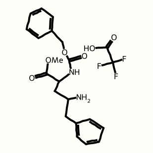 COC(=O)C(CC(N)Cc1ccccc1)NC(=O)OCc1ccccc1.O=C(O)C(F)(F)F